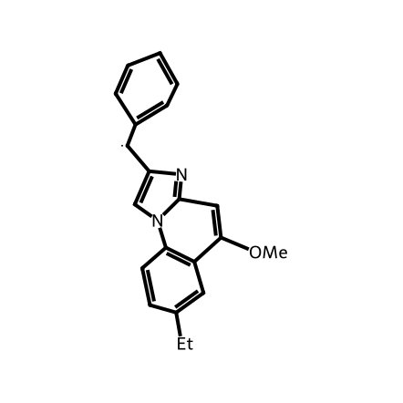 CCc1ccc2c(c1)c(OC)cc1nc([CH]c3ccccc3)cn12